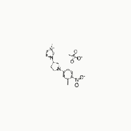 CS(=O)(=O)[O-].Cc1cc(N2CCC(n3cc[n+](C)c3)C2)ccc1[N+](=O)[O-]